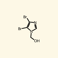 OCn1cnc(Br)c1Br